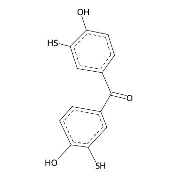 O=C(c1ccc(O)c(S)c1)c1ccc(O)c(S)c1